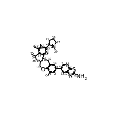 Cc1cc(-c2cnc3sc(N)nc3c2)cc2c1OCCN(c1nc(C3CCCN3C)nc(C)c1C(C)C)C2